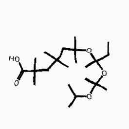 CCC(C)(OC(C)(C)CC(C)(C)CC(C)(C)C(=O)O)OC(C)(C)OC(C)C